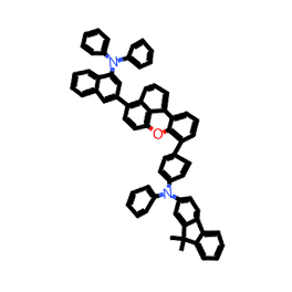 CC1(C)c2ccccc2-c2ccc(N(c3ccccc3)c3ccc(-c4cccc5c4Oc4ccc(-c6cc(N(c7ccccc7)c7ccccc7)c7ccccc7c6)c6cccc-5c46)cc3)cc21